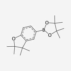 CC1(C)OB(c2ccc3c(c2)C(C)(C)C(C)(C)O3)OC1(C)C